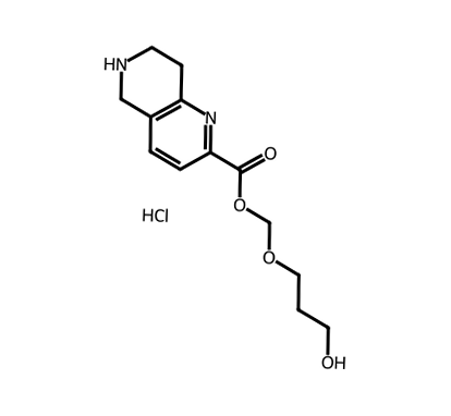 Cl.O=C(OCOCCCO)c1ccc2c(n1)CCNC2